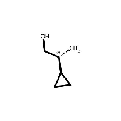 C[C@@H](CO)C1CC1